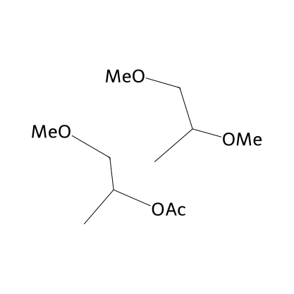 COCC(C)OC.COCC(C)OC(C)=O